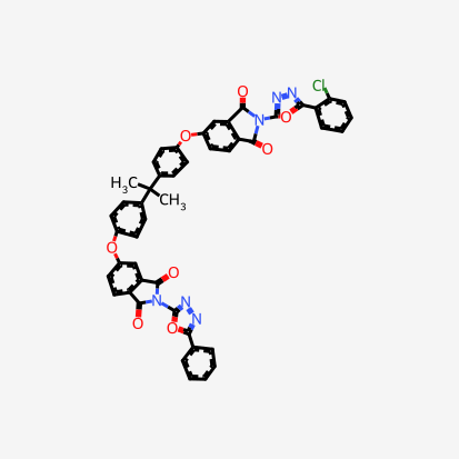 CC(C)(c1ccc(Oc2ccc3c(c2)C(=O)N(c2nnc(-c4ccccc4)o2)C3=O)cc1)c1ccc(Oc2ccc3c(c2)C(=O)N(c2nnc(-c4ccccc4Cl)o2)C3=O)cc1